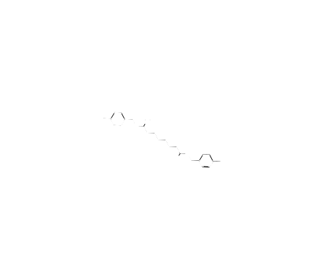 CC1=CC=C(COC(=O)CCCCCCC(=O)OCc2ccc(C)cc2)CC1